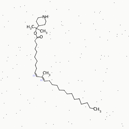 CCCCCCCCCCCCC/C=C(C)/C=C\CCCCCCCCC(=O)OC(C)(C)C1CCNCC1